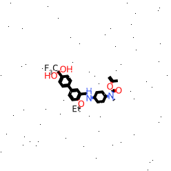 C=C(C)OC(=O)N(C)C1CCC(NCc2cc(-c3ccc(C(O)(O)C(F)(F)F)cc3)ccc2OCC)CC1